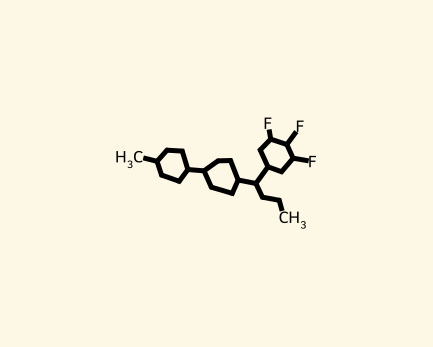 CCCC(C1CCC(C2CCC(C)CC2)CC1)C1CC(F)C(F)C(F)C1